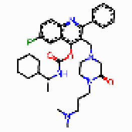 C[C@H](NC(=O)Oc1c(CN2CCN(CCCN(C)C)C(=O)C2)c(-c2ccccc2)nc2ccc(F)cc12)C1CCCCC1